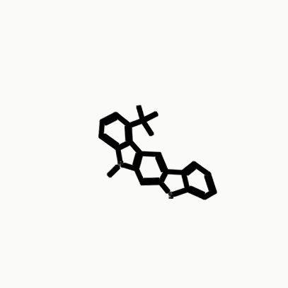 Cn1c2cc3sc4ccccc4c3cc2c2c(C(C)(C)C)cccc21